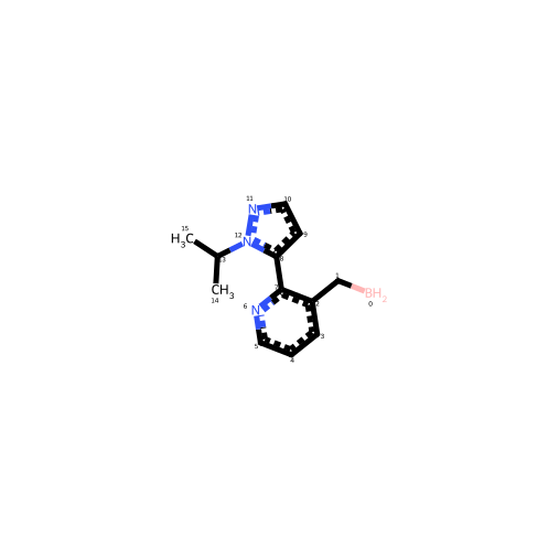 BCc1cccnc1-c1ccnn1C(C)C